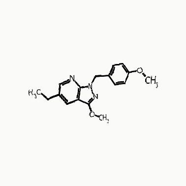 CCc1cnc2c(c1)c(OC)nn2Cc1ccc(OC)cc1